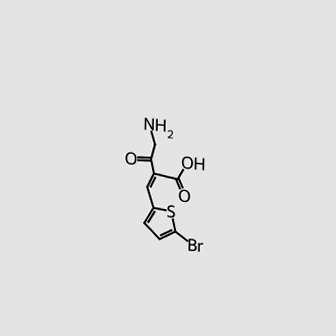 NCC(=O)C(=Cc1ccc(Br)s1)C(=O)O